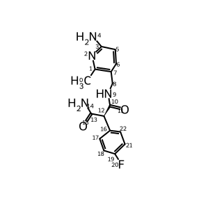 Cc1nc(N)ccc1CNC(=O)[C@H](C(N)=O)c1ccc(F)cc1